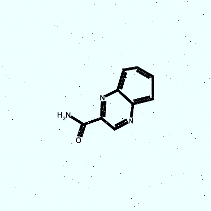 NC(=O)c1cnc2ccccc2n1